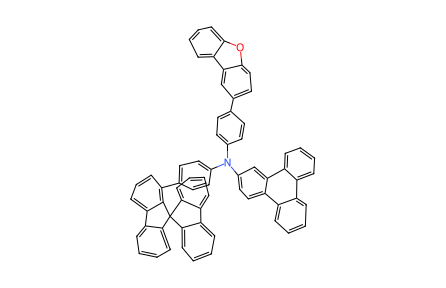 c1ccc2c(c1)-c1ccccc1C21c2ccccc2-c2cccc(-c3ccc(N(c4ccc(-c5ccc6oc7ccccc7c6c5)cc4)c4ccc5c6ccccc6c6ccccc6c5c4)cc3)c21